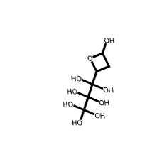 OC1CC(C(O)(O)C(O)(O)C(O)(O)O)O1